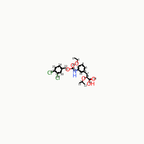 CCOc1ccc(CC(OC(C)C)C(=O)O)cc1NC(=O)OCc1ccc(Cl)c(Cl)c1